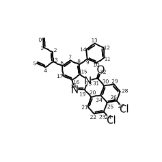 C=C/C=C(\C=C)c1cc(-c2ccccc2)c2c(c1)nc1c3ccc(Cl)c4c(Cl)ccc(c(=O)n12)c43